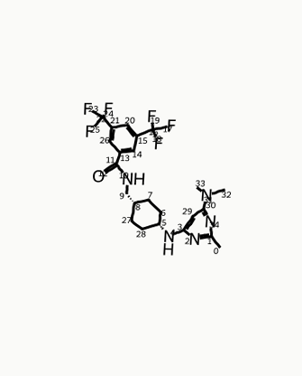 Cc1nc(N[C@H]2CC[C@@H](CNC(=O)c3cc(C(F)(F)F)cc(C(F)(F)F)c3)CC2)cc(N(C)C)n1